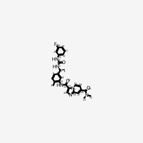 Cc1ccc([C@H](C)NC(=O)Nc2cccc(F)c2)cc1NC(=O)c1cnc2cc(C(=O)N(C)C)ccn12